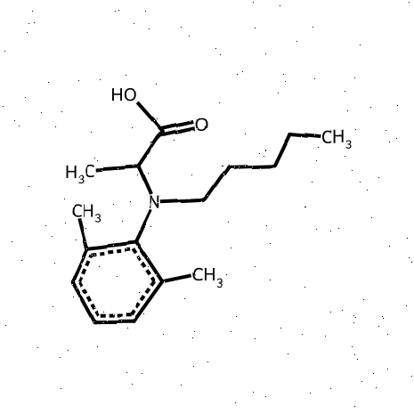 CCCCCN(c1c(C)cccc1C)C(C)C(=O)O